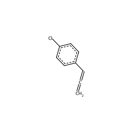 C=C=Cc1ccc(Cl)cc1